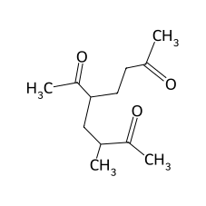 CC(=O)CCC(CC(C)C(C)=O)C(C)=O